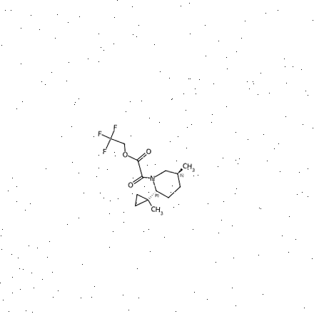 C[C@H]1CC[C@H](C2(C)CC2)N(C(=O)C(=O)OCC(F)(F)F)C1